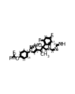 CC(c1cn(-c2ccc(OC(F)F)cc2)nn1)C(O)(CN/C=N\C=N)c1ccc(F)cc1F